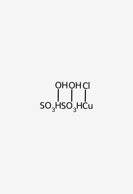 O=S(=O)(O)O.O=S(=O)(O)O.[Cl][Cu]